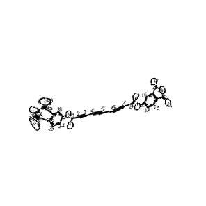 O=C(C#CC#CC#CC(=O)Oc1ccc2c(c1)C(=O)OC2=O)Oc1ccc2c(c1)C(=O)OC2=O